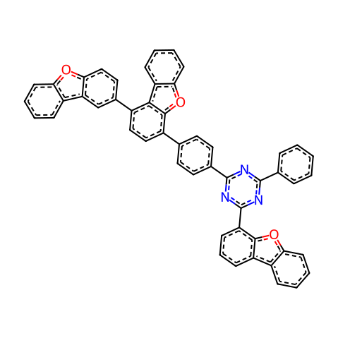 c1ccc(-c2nc(-c3ccc(-c4ccc(-c5ccc6oc7ccccc7c6c5)c5c4oc4ccccc45)cc3)nc(-c3cccc4c3oc3ccccc34)n2)cc1